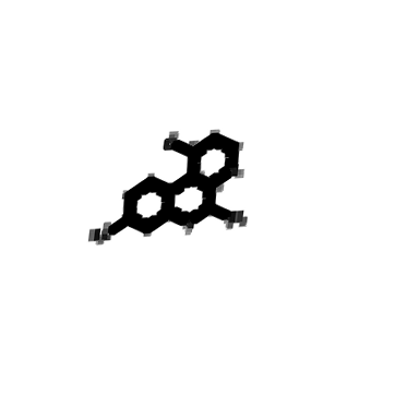 Cc1ccc2c(c1)nc(N)c1nccc(Cl)c12